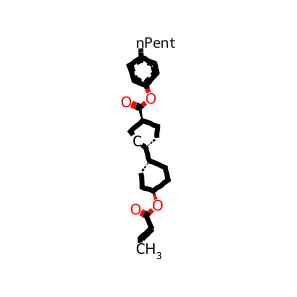 C/C=C/C(=O)O[C@H]1CC[C@H]([C@H]2CC[C@H](C(=O)Oc3ccc(CCCCC)cc3)CC2)CC1